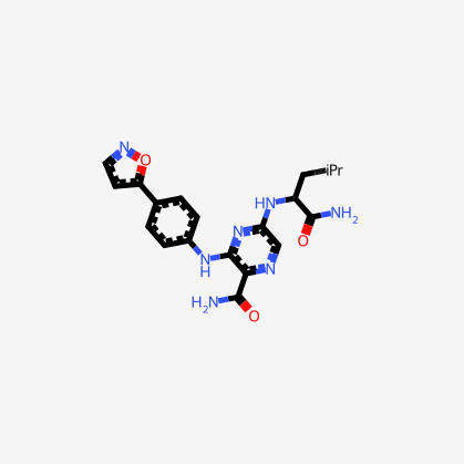 CC(C)CC(Nc1cnc(C(N)=O)c(Nc2ccc(-c3ccno3)cc2)n1)C(N)=O